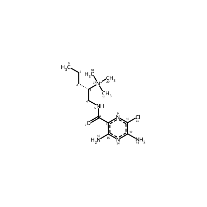 CCC[C@@H](CNC(=O)c1nc(Cl)c(N)nc1N)[N+](C)(C)C